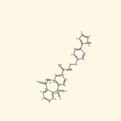 O=C(NCCc1ccc(-c2cnn[nH]2)cc1)c1ccc2c(c1)NC(=O)c1ccccc1S2(=O)=O